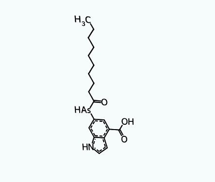 CCCCCCCCCC(=O)[AsH]c1cc(C(=O)O)c2cc[nH]c2c1